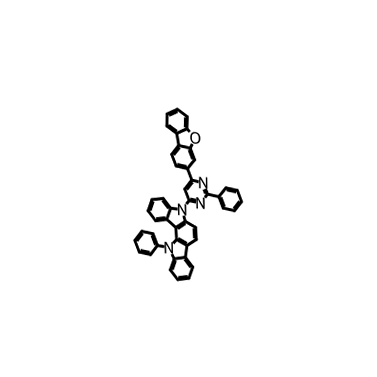 c1ccc(-c2nc(-c3ccc4c(c3)oc3ccccc34)cc(-n3c4ccccc4c4c3ccc3c5ccccc5n(-c5ccccc5)c34)n2)cc1